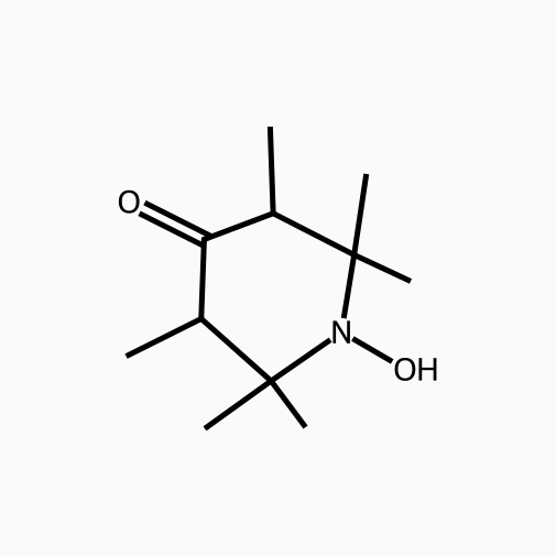 CC1C(=O)C(C)C(C)(C)N(O)C1(C)C